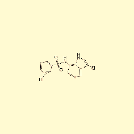 O=S(=O)(Nc1cncc2c(Cl)c[nH]c12)c1cccc(Cl)c1